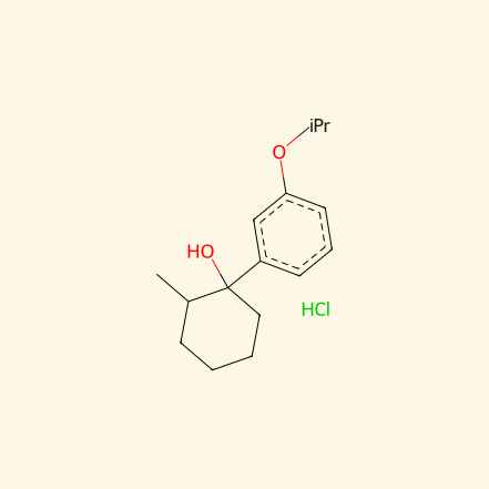 CC(C)Oc1cccc(C2(O)CCCCC2C)c1.Cl